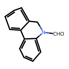 O=CN1Cc2ccccc2-c2ccccc21